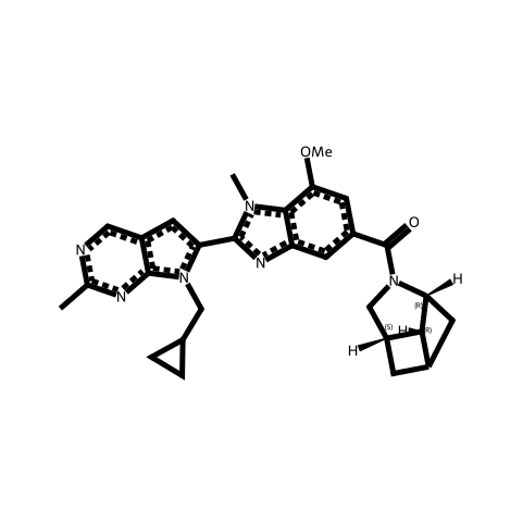 COc1cc(C(=O)N2C[C@H]3CC4C[C@@H]2[C@H]43)cc2nc(-c3cc4cnc(C)nc4n3CC3CC3)n(C)c12